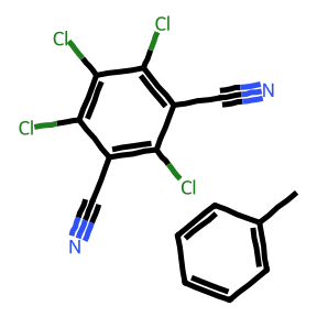 Cc1ccccc1.N#Cc1c(Cl)c(Cl)c(Cl)c(C#N)c1Cl